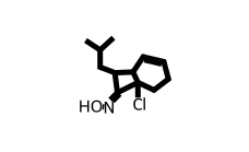 CC(C)CC1C(=NO)C2(Cl)CCC=CC12